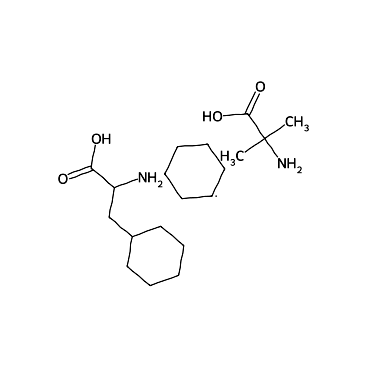 CC(C)(N)C(=O)O.NC(CC1CCCCC1)C(=O)O.[CH]1CCCCC1